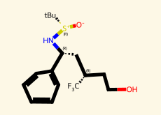 CC(C)(C)[S@+]([O-])N[C@H](C[C@H](CCO)C(F)(F)F)c1ccccc1